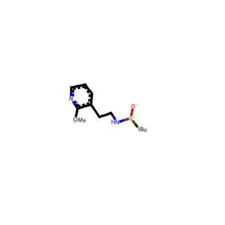 COc1ncccc1CCN[S+]([O-])C(C)(C)C